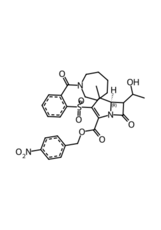 CC(O)C1C(=O)N2C(C(=O)OCc3ccc([N+](=O)[O-])cc3)=C(S(=O)(=O)c3ccccc3C(=O)N3CCCCCC3)C(C)[C@@H]12